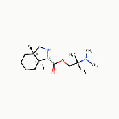 CN(C)C(C)(C)COC(=O)[C@H]1NC[C@H]2CCCC[C@@H]21